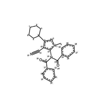 Cn1nc(C2CCCCC2)c(C#N)c1N(C(=O)c1ccccc1)C(=O)c1ccccc1